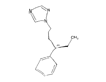 CC[C@H](CCn1cncn1)c1ccccc1